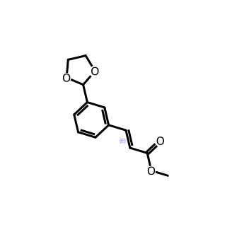 COC(=O)/C=C/c1cccc(C2OCCO2)c1